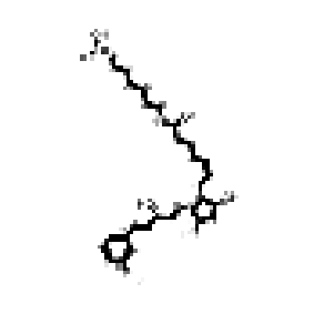 O=C(CCC/C=C\C[C@@H]1[C@@H](/C=C/[C@@H](O)CCc2cccc(C(F)(F)F)c2)[C@H](O)C[C@@H]1O)NCCCCCCON(O)O